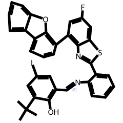 CC(C)(C)c1cc(I)cc(/C=N/c2ccccc2-c2nc3c(-c4cccc5c4oc4ccccc45)cc(F)cc3s2)c1O